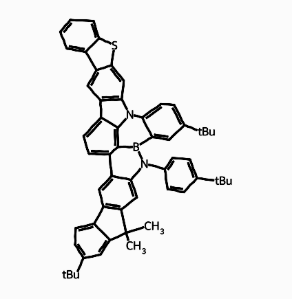 CC(C)(C)c1ccc(N2B3c4cc(C(C)(C)C)ccc4-n4c5cc6sc7ccccc7c6cc5c5ccc(c3c54)-c3cc4c(cc32)C(C)(C)c2cc(C(C)(C)C)ccc2-4)cc1